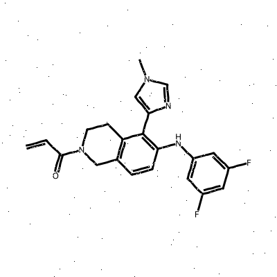 C=CC(=O)N1CCc2c(ccc(Nc3cc(F)cc(F)c3)c2-c2cn(C)cn2)C1